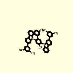 N#Cc1cc(C#N)cc(-c2ccc3c4ccccc4n(-c4cc(C(F)(F)F)c(-n5c6ccccc6c6ccc(-c7cc(C#N)cc(C#N)c7)cc65)cc4-c4cccc(C#N)c4)c3c2)c1